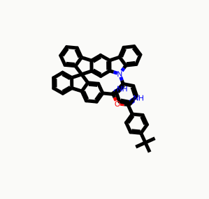 CC(C)(C)c1ccc(C(=N)OC(=N)c2ccc3c(c2)C2(c4ccccc4-3)c3ccccc3-c3cc4c5ccccc5n(-c5ccccc5)c4cc32)cc1